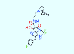 C[C@@H]1CCCN1CCCNC(=O)c1c(O)c2ncc(Cc3ccc(F)cc3)c3c2n(c1=O)CC(F)(F)CN3